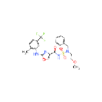 COCCN(Cc1ccccc1)S(=O)(=O)NC(=O)c1coc(Nc2cc(C(F)(F)F)ccc2C)n1